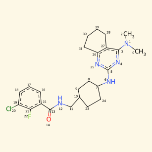 CN(C)c1nc(NC2CCC(CNC(=O)c3cccc(Cl)c3F)CC2)nc2c1CCCC2